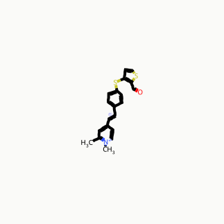 Cc1cc(/C=C/c2ccc(Sc3ccsc3C=O)cc2)cc[n+]1C